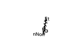 CCC=CCCC=CCOC(=O)CCCCCCCCCCC